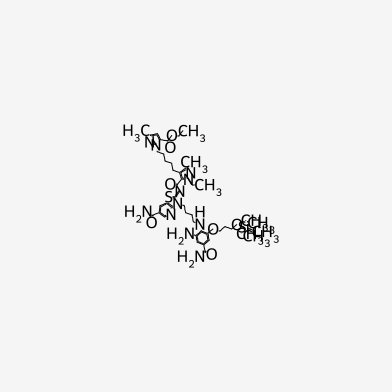 CCOC(=O)c1cc(C)nn1CCCCCc1c(C)nn(CC)c1C(=O)/N=c1\sc2cc(C(N)=O)cnc2n1CCCCNc1c(N)cc(C(N)=O)cc1OCCCO[Si](C)(C)C(C)(C)C